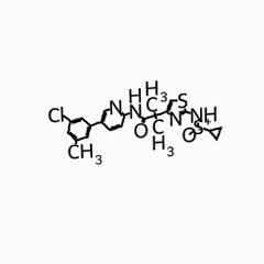 Cc1cc(Cl)cc(-c2ccc(NC(=O)C(C)(C)c3csc(N[S+]([O-])C4CC4)n3)nc2)c1